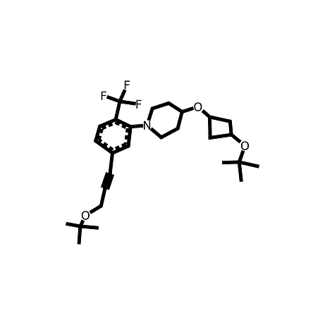 CC(C)(C)OCC#Cc1ccc(C(F)(F)F)c(N2CCC(OC3CC(OC(C)(C)C)C3)CC2)c1